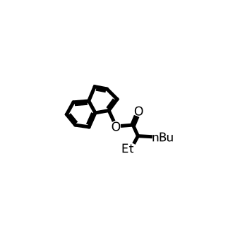 CCCCC(CC)C(=O)Oc1cccc2ccccc12